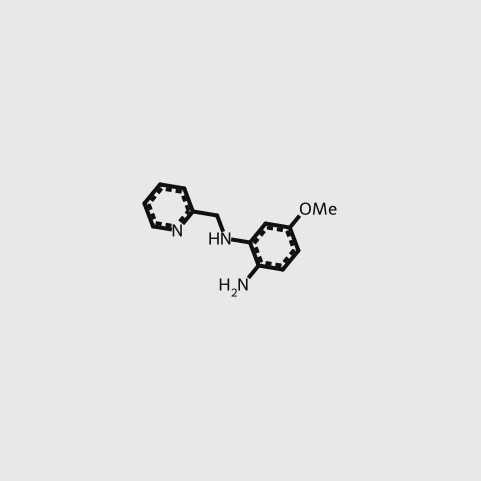 COc1ccc(N)c(NCc2ccccn2)c1